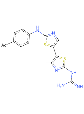 CC(=O)c1ccc(Nc2ncc(-c3sc(NC(=N)N)nc3C)s2)cc1